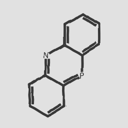 [c]1cccc2nc3ccccc3pc12